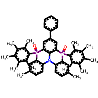 Cc1ccc2c(c1)P(=O)(c1c(C)c(C)c(C)c(C)c1C)c1cc(-c3ccccc3)cc3c1N2c1ccc(C)cc1P3(=O)c1c(C)c(C)c(C)c(C)c1C